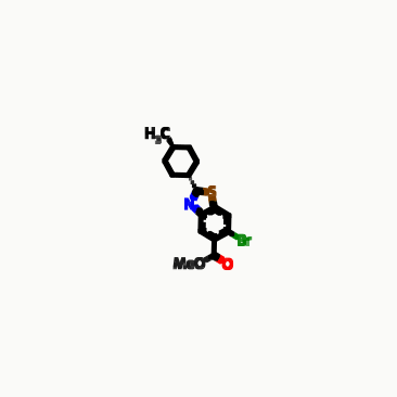 COC(=O)c1cc2nc([C@H]3CC[C@H](C)CC3)sc2cc1Br